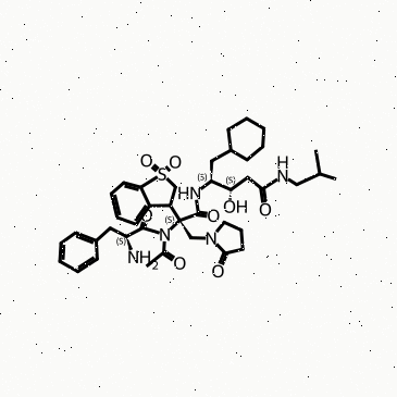 CC(=O)N(C(=O)[C@@H](N)Cc1ccccc1)[C@@](CN1CCCC1=O)(C(=O)N[C@@H](CC1CCCCC1)[C@@H](O)CC(=O)NCC(C)C)C1CS(=O)(=O)c2ccccc21